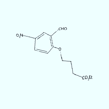 CCOC(=O)CCCOc1ccc([N+](=O)[O-])cc1C=O